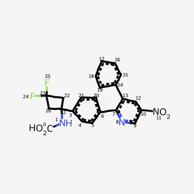 O=C(O)NC1(c2ccc(-c3ncc([N+](=O)[O-])cc3-c3ccccc3)cc2)CC(F)(F)C1